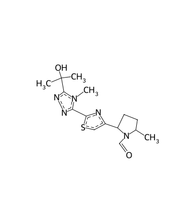 CC1CCC(c2csc(-c3nnc(C(C)(C)O)n3C)n2)N1C=O